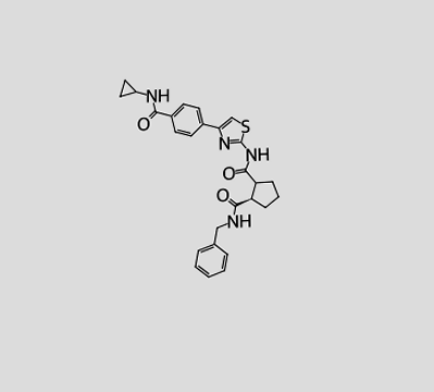 O=C(NC1CC1)c1ccc(-c2csc(NC(=O)C3CCC[C@H]3C(=O)NCc3ccccc3)n2)cc1